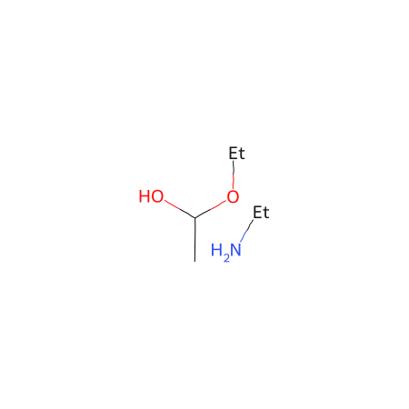 CCN.CCOC(C)O